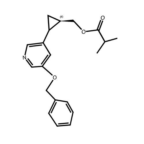 CC(C)C(=O)OC[C@@H]1CC1c1cncc(OCc2ccccc2)c1